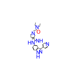 CCN(CC)C(=O)CN1CC[C@@H](C(=N)Nc2ccc3[nH]nc(-c4ccncc4)c3c2)C1